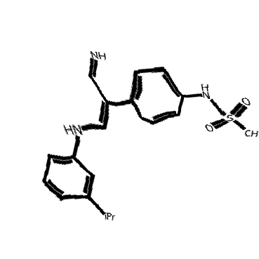 CC(C)c1cccc(N/C=C(\C=N)c2ccc(NS(C)(=O)=O)cc2)c1